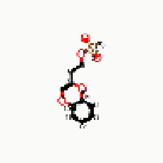 CS(=O)(=O)OCCC1=COc2ccccc2O1